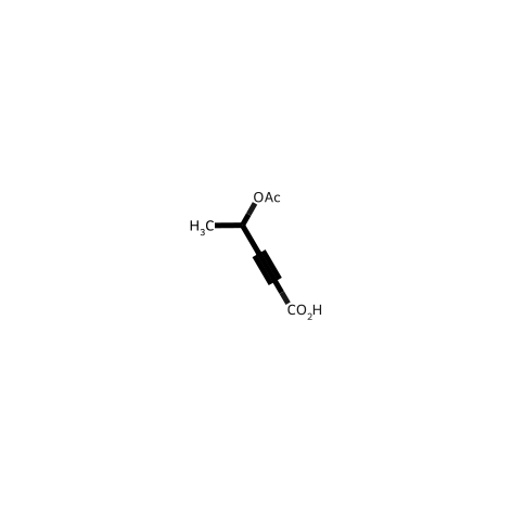 CC(=O)OC(C)C#CC(=O)O